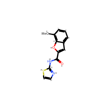 COc1cccc2cc(C(=O)Nc3nccs3)oc12